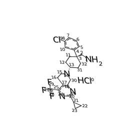 Cl.NC[C@]1(c2cccc(Cl)c2)CC[C@@H](N2CCc3c(nc(C4CC4)nc3C(F)(F)F)C2)CC1